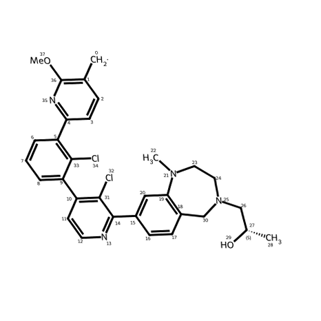 [CH2]c1ccc(-c2cccc(-c3ccnc(-c4ccc5c(c4)N(C)CCN(C[C@H](C)O)C5)c3Cl)c2Cl)nc1OC